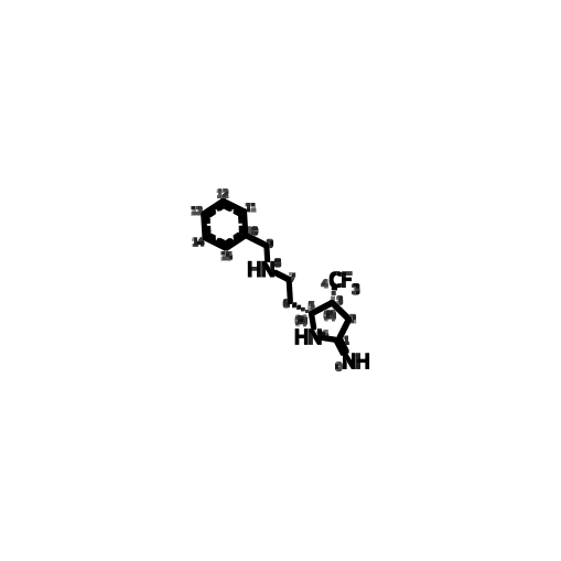 N=C1C[C@@H](C(F)(F)F)[C@@H](CCNCc2ccccc2)N1